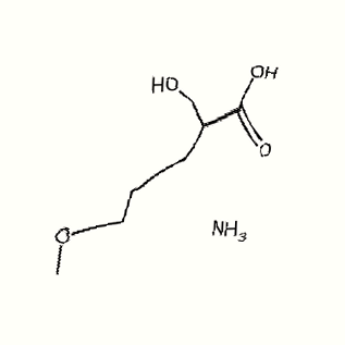 COCCCC(O)C(=O)O.N